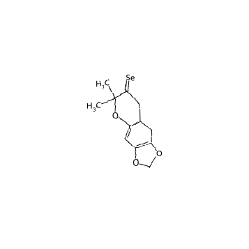 CC1(C)OC2=CC3=C(CC2CC1=[Se])OCO3